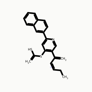 C=C(S)Sc1cc(-c2ccc3ccccc3c2)ncc1C(=C)/C=C\CC